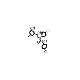 Cc1cc(C#N)cc(C(O)CN(C(=O)Nc2ccc(Cl)cc2)c2ccc(Cl)cc2)c1